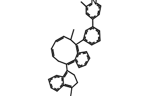 CC1=c2ccccc2=C(/C2=c3\cccc\c3=C(/c3cccc(-c4ccnc(C)c4)c3)C(C)/C=C\C=C/C2)CC1